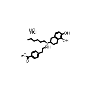 CCCCCCN(NCCc1ccc(C(=O)OC)cc1)C1CCc2c(ccc(O)c2O)C1.Cl.Cl